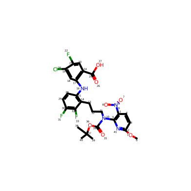 COc1ccc([N+](=O)[O-])c(N(CCCc2c(Nc3cc(Cl)c(F)cc3C(=O)O)ccc(F)c2F)C(=O)OC(C)(C)C)n1